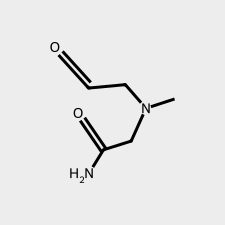 CN(CC=O)CC(N)=O